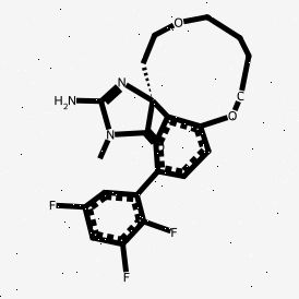 CN1C(=O)[C@@]2(CCOCCCCOc3ccc(-c4cc(F)cc(F)c4F)cc32)N=C1N